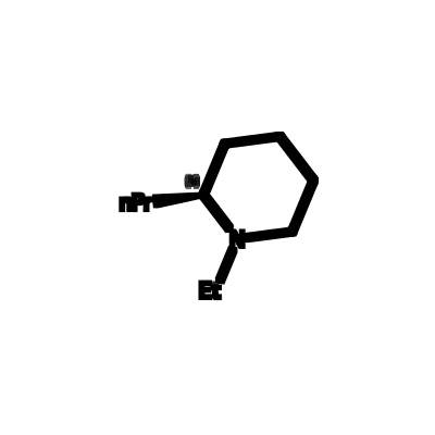 CCC[C@H]1CCCCN1CC